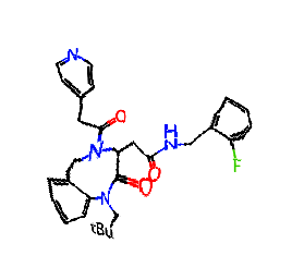 CC(C)(C)CN1C(=O)C(CC(=O)NCc2ccccc2F)N(C(=O)Cc2ccncc2)Cc2ccccc21